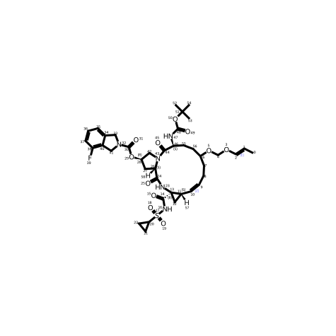 C/C=C/OCOC1CC/C=C\[C@@H]2C[C@@]2(C(=O)NS(=O)(=O)C2CC2)NC(=O)[C@@H]2C[C@@H](OC(=O)N3Cc4cccc(F)c4C3)CN2C(=O)[C@@H](NC(=O)OC(C)(C)C)CC1